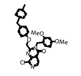 COc1ccc(Cn2c(COc3ccc(Cc4ccc(C)cc4)cc3)nc3c(Cl)nccc3c2=O)c(OC)c1